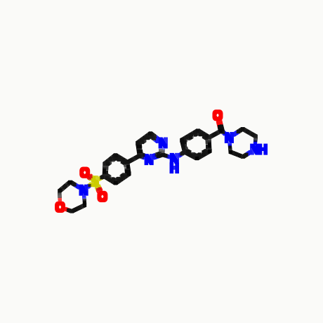 O=C(c1ccc(Nc2nccc(-c3ccc(S(=O)(=O)N4CCOCC4)cc3)n2)cc1)N1CCNCC1